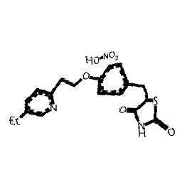 CCc1ccc(CCOc2ccc(CC3SC(=O)NC3=O)cc2)nc1.O=[N+]([O-])O